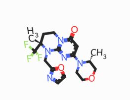 C[C@@H]1COCCN1c1cc(=O)n2c(n1)N(Cc1ncco1)[C@](C)(C(F)(F)F)CC2